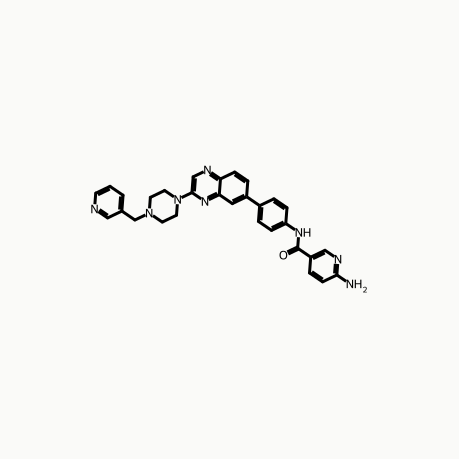 Nc1ccc(C(=O)Nc2ccc(-c3ccc4ncc(N5CCN(Cc6cccnc6)CC5)nc4c3)cc2)cn1